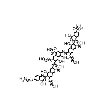 NOOSc1ccc(N=Nc2c(SOOO)cc3cc(S(=O)(=O)O)c(N=Nc4c(SOOO)cc5c(S(=O)(=O)O)cc(N=Nc6cc7c(O)c(N=Nc8ccc(S(N)(=O)=O)cc8C(=O)O)c(S(=O)(=O)O)cc7cc6SOOO)c(N)c5c4O)cc3c2O)c(C(=O)O)c1